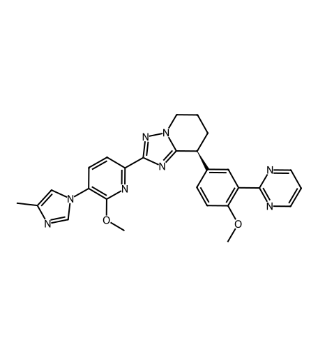 COc1ccc([C@@H]2CCCn3nc(-c4ccc(-n5cnc(C)c5)c(OC)n4)nc32)cc1-c1ncccn1